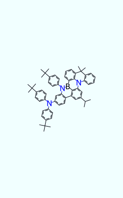 CC(C)c1cc2c3c(c1)N1c4ccccc4C(C)(C)c4cccc(c41)B3N(c1ccc(C(C)(C)C)cc1)c1cc(N(c3ccc(C(C)(C)C)cc3)c3ccc(C(C)(C)C)cc3)ccc1-2